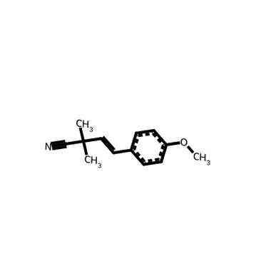 COc1ccc(/C=C/C(C)(C)C#N)cc1